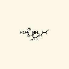 CCCCCC[C@@H](C)[C@H](N)CC(=O)O